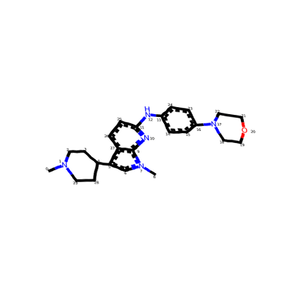 CN1CCC(c2cn(C)c3nc(Nc4ccc(N5CCOCC5)cc4)ccc23)CC1